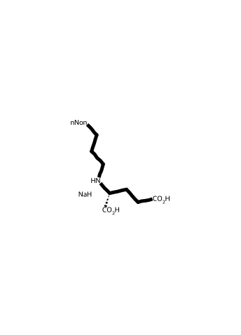 CCCCCCCCCCCCN[C@H](CCC(=O)O)C(=O)O.[NaH]